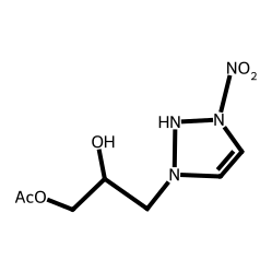 CC(=O)OCC(O)CN1C=CN([N+](=O)[O-])N1